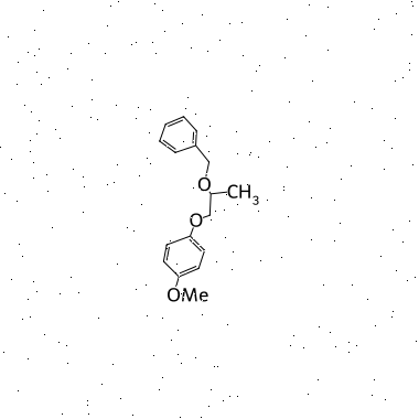 COc1ccc(OCC(C)OCc2ccccc2)cc1